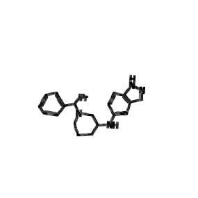 CC(C)C(c1ccccc1)N1CCCC(Nc2ccc3[nH]ncc3c2)C1